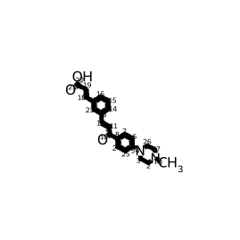 CN1CCN(c2ccc(C(=O)/C=C/c3cccc(/C=C/C(=O)O)c3)cc2)CC1